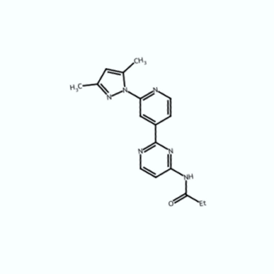 CCC(=O)Nc1ccnc(-c2ccnc(-n3nc(C)cc3C)c2)n1